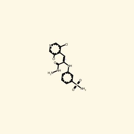 NNC(=O)/C(=C\c1c(Cl)cncc1Cl)Nc1cccc(S(N)(=O)=O)c1